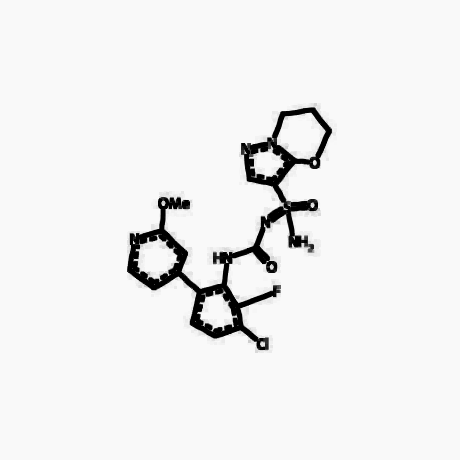 COc1cc(-c2ccc(Cl)c(F)c2NC(=O)N=S(N)(=O)c2cnn3c2OCCC3)ccn1